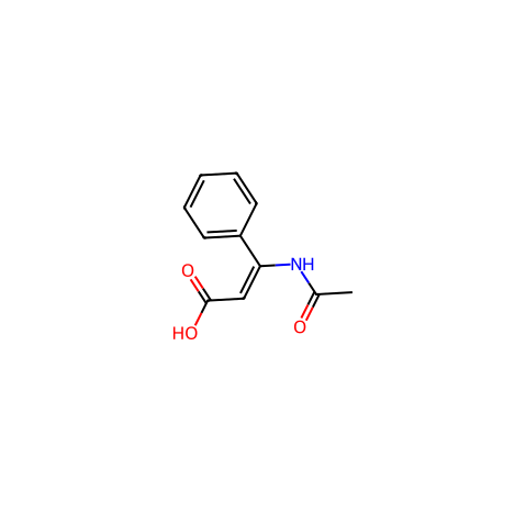 CC(=O)NC(=CC(=O)O)c1ccccc1